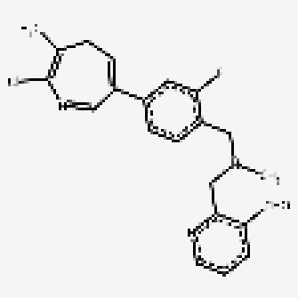 CC1=C(Cl)N=CC(c2ccc(CN(C)Cc3ncccc3C=O)c(F)c2)=CC1